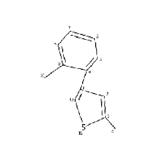 Cc1cc(-c2ccccc2C)cs1